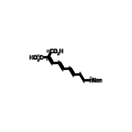 CCCCCCCCCCCC=CC=CC=C(C(=O)O)C(=O)O